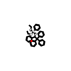 CCO[Si](OCC)(OC(c1ccccc1)C(c1ccccc1)(c1ccccc1)c1ccccc1)c1ccccc1